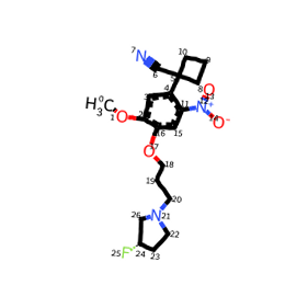 COc1cc(C2(C#N)CCC2)c([N+](=O)[O-])cc1OCCCN1CC[C@H](F)C1